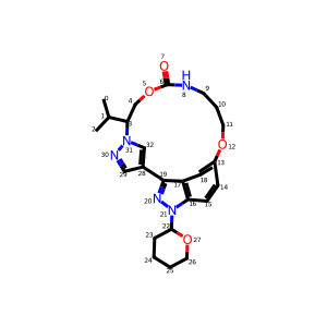 CC(C)C1COC(=O)NCCCOc2ccc3c(c2)c(nn3C2CCCCO2)-c2cnn1c2